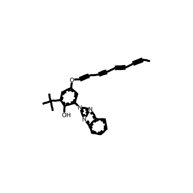 CC#CC#CC#CC#COc1cc(-n2n3c4ccccc4n23)c(O)c(C(C)(C)C)c1